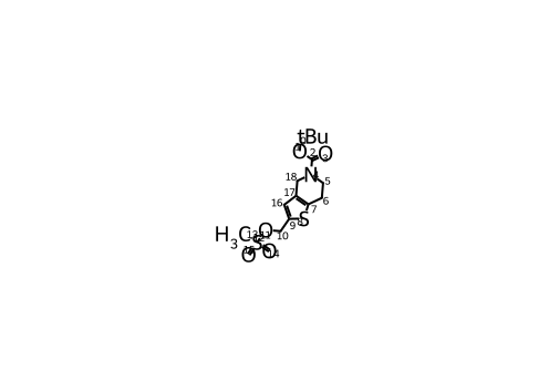 CC(C)(C)OC(=O)N1CCc2sc(COS(C)(=O)=O)cc2C1